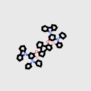 c1ccc(N2c3ccccc3B3c4ccc5c6ccc7c(c6c6ccccc6c5c4Oc4cc(-n5c6ccccc6c6ccccc65)cc2c43)Oc2cc(-n3c4ccccc4c4ccccc43)cc3c2B7c2ccccc2N3c2ccccc2)cc1